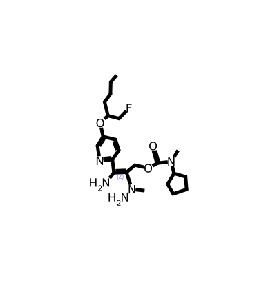 CCCCC(CF)Oc1ccc(/C(N)=C(\COC(=O)N(C)C2CCCC2)N(C)N)nc1